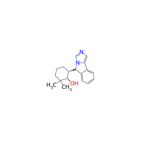 CC1(C)CCC[C@@H](C2c3ccccc3-c3cncn32)[C@H]1O